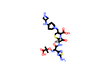 CC(C)(O/N=C(\C(=O)N[C@@H]1C(=O)N2C(C(=O)O)=C(C[n+]3ccc(NC4CNC4)cc3)CS[C@H]12)c1nsc(N)n1)C(=O)O